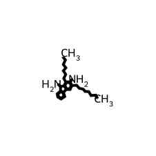 CCCCCCCCc1cc2c(c(CCCCCCCC)c1N)C(N)c1ccccc1-2